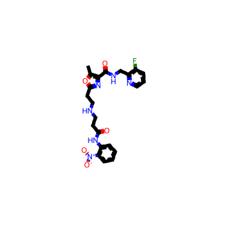 Cc1oc(CCNCCC(=O)Nc2ccccc2[N+](=O)[O-])nc1C(=O)NCc1ncccc1F